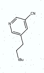 CC(C)(C)CCc1cncc(C#N)c1